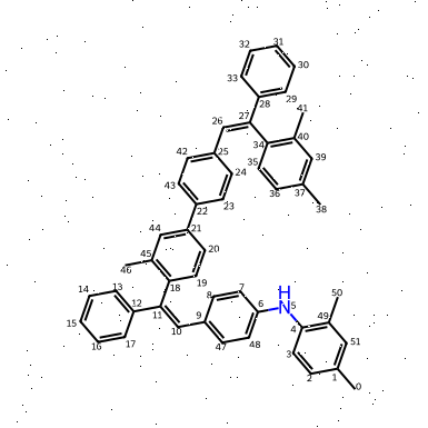 Cc1ccc(Nc2ccc(C=C(c3ccccc3)c3ccc(-c4ccc(C=C(c5ccccc5)c5ccc(C)cc5C)cc4)cc3C)cc2)c(C)c1